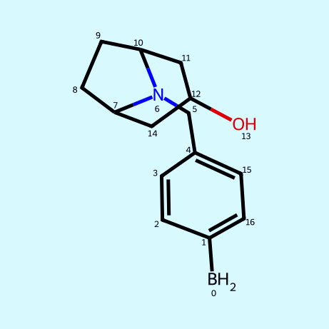 Bc1ccc(CN2C3CCC2CC(O)C3)cc1